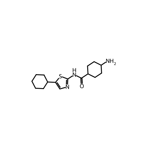 NC1CCC(C(=O)Nc2ncc(C3CCCCC3)s2)CC1